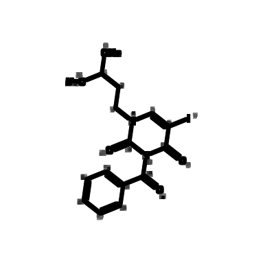 COC(CCn1cc(I)c(=O)n(C(=O)c2ccccc2)c1=O)OC